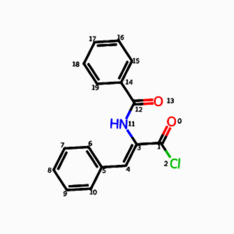 O=C(Cl)/C(=C/c1ccccc1)NC(=O)c1ccccc1